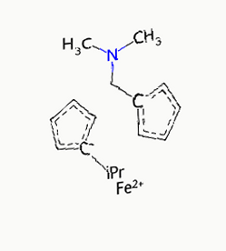 CC(C)[c-]1cccc1.CN(C)C[c-]1cccc1.[Fe+2]